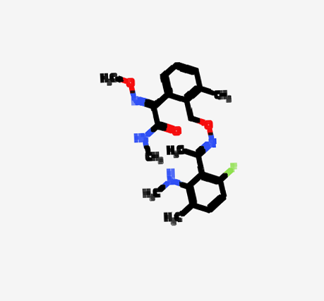 CNC(=O)/C(=N/OC)c1cccc(C)c1CO/N=C(\C)c1c(F)ccc(C)c1NC